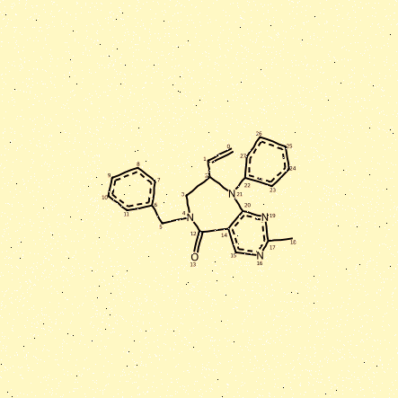 C=CC1CN(Cc2ccccc2)C(=O)c2cnc(C)nc2N1c1ccccc1